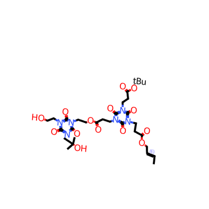 C/C=C/COC(=O)CCn1c(=O)n(CCC(=O)OCCn2c(=O)n(CCO)c(=O)n(CC(C)(C)O)c2=O)c(=O)n(CCC(=O)OC(C)(C)C)c1=O